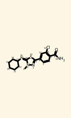 Cn1nc(-c2ccc(C(N)=O)c(Cl)c2)s/c1=N/C1CCCCC1